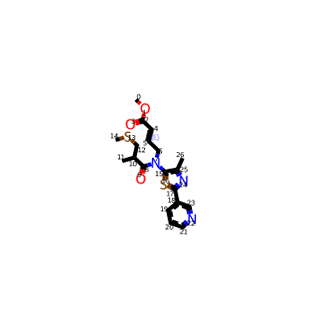 COC(=O)/C=C/CN(C(=O)C(C)CSC)c1sc(-c2cccnc2)nc1C